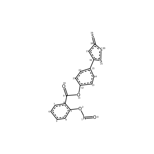 O=NOc1ccccc1C(=O)Oc1ccc(-c2cc(=S)ss2)cc1